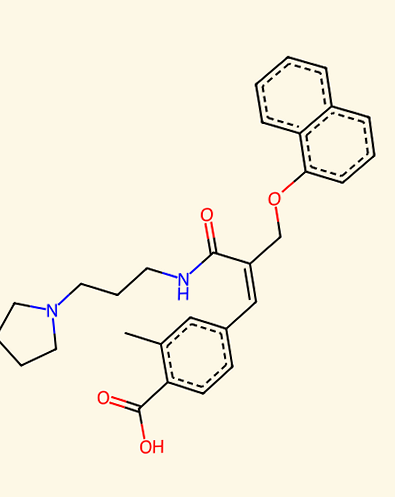 Cc1cc(C=C(COc2cccc3ccccc23)C(=O)NCCCN2CCCC2)ccc1C(=O)O